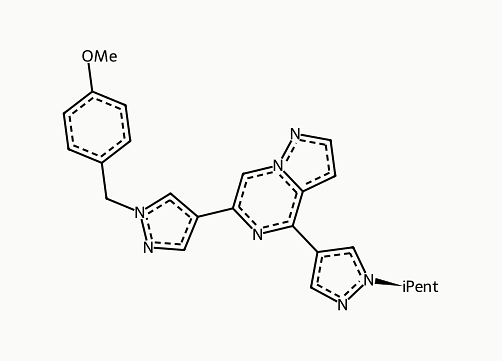 CCC[C@H](C)n1cc(-c2nc(-c3cnn(Cc4ccc(OC)cc4)c3)cn3nccc23)cn1